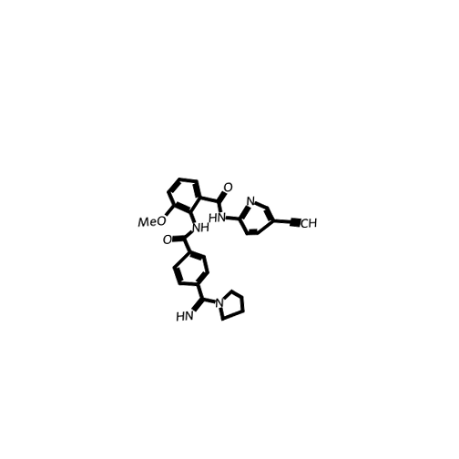 C#Cc1ccc(NC(=O)c2cccc(OC)c2NC(=O)c2ccc(C(=N)N3CCCC3)cc2)nc1